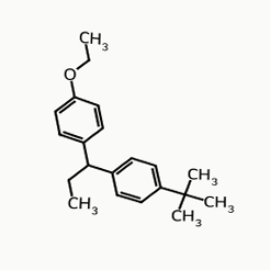 CCOc1ccc(C(CC)c2ccc(C(C)(C)C)cc2)cc1